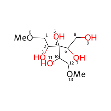 COCC(O)C(O)(C(O)CO)C(O)COC